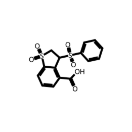 O=C(O)c1cccc2c1C(S(=O)(=O)c1ccccc1)CS2(=O)=O